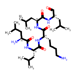 CC(C)C[C@@H]([C]=O)NC(=O)[C@H](CC(C)C)NC(=O)[C@H](CCCCN)NC(=O)[C@H](CC(C)C)NC(=O)[C@@H](N)CC(C)C